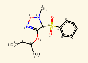 CN1ON=C(OC(CC(=O)O)C(=O)O)C1S(=O)(=O)c1ccccc1